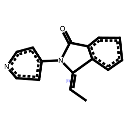 C/C=C1\c2ccccc2C(=O)N1c1ccncc1